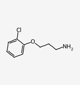 NCCCOc1ccccc1Cl